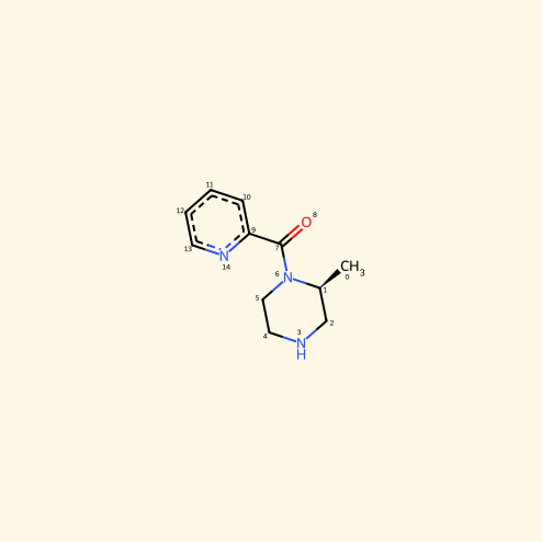 C[C@H]1CNCCN1C(=O)c1ccccn1